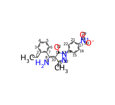 CCc1ccccc1C(N)=C1C(=O)N(c2ccc([N+](=O)[O-])cc2)N=C1C